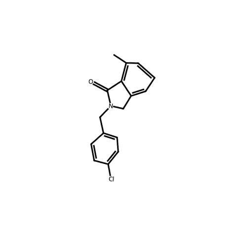 Cc1cccc2c1C(=O)N(Cc1ccc(Cl)cc1)C2